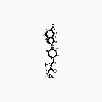 CC(C)(C)OC(=O)NC[C@H]1CC[C@H](n2cc3cc(Cl)ncc3n2)CC1